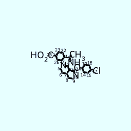 C[C@H](Nc1nccc2ccnc(Oc3ccc(Cl)cc3)c12)c1ccc(C(=O)O)cc1